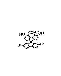 CCOC(=O)c1cc(C2(c3ccc(O)c(C(C)=O)c3)c3cc(Br)ccc3-c3ccc(Br)cc32)ccc1O